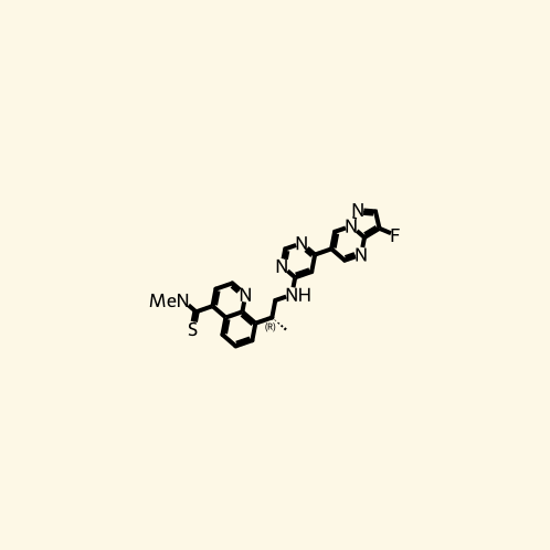 CNC(=S)c1ccnc2c([C@@H](C)CNc3cc(-c4cnc5c(F)cnn5c4)ncn3)cccc12